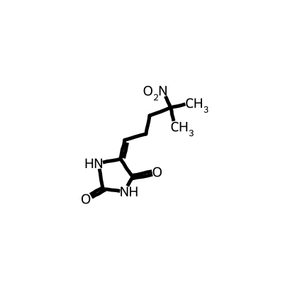 CC(C)(CCC=C1NC(=O)NC1=O)[N+](=O)[O-]